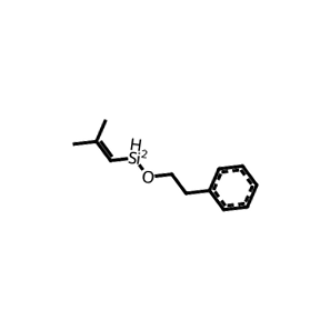 CC(C)=C[SiH2]OCCc1ccccc1